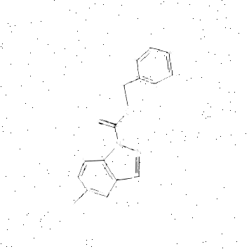 Cc1ccc2c(cnn2C(=O)OCc2ccccc2)c1